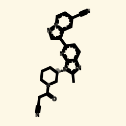 Cc1nc2ccc(-c3cnn4ccc(C#N)cc34)nc2n1[C@H]1CCCN(C(=O)CC#N)C1